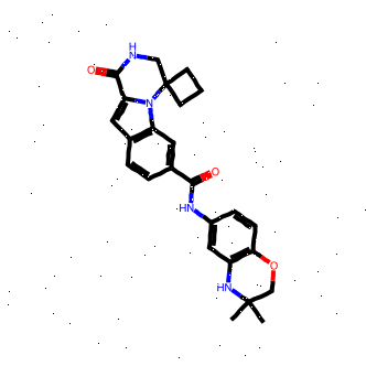 CC1(C)COc2ccc(NC(=O)c3ccc4cc5n(c4c3)C3(CCC3)CNC5=O)cc2N1